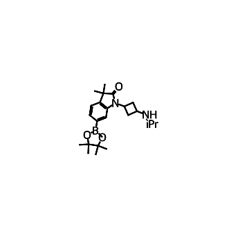 CC(C)NC1CC(N2C(=O)C(C)(C)c3ccc(B4OC(C)(C)C(C)(C)O4)cc32)C1